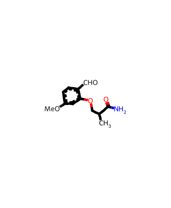 COc1ccc(C=O)c(OCC(C)C(N)=O)c1